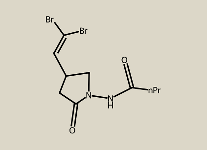 CCCC(=O)NN1CC(C=C(Br)Br)CC1=O